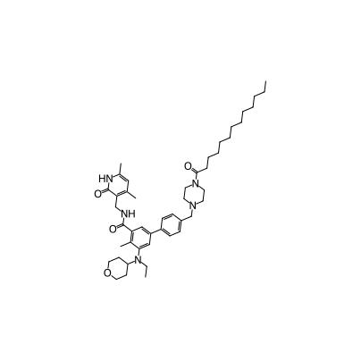 CCCCCCCCCCCCC(=O)N1CCN(Cc2ccc(-c3cc(C(=O)NCc4c(C)cc(C)[nH]c4=O)c(C)c(N(CC)C4CCOCC4)c3)cc2)CC1